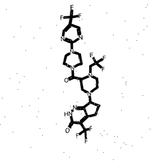 O=C(C1CN(C2CCc3c2n[nH]c(=O)c3C(F)(F)F)CCN1CC(F)(F)F)N1CCN(c2ncc(C(F)(F)F)cn2)CC1